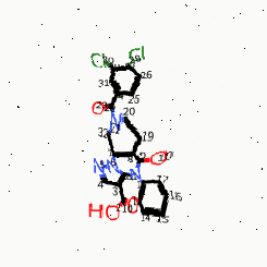 O=C(O)c1cnn2c3c(c(=O)n(-c4ccccc4)c12)CCN(C(=O)c1ccc(Cl)c(Cl)c1)C3